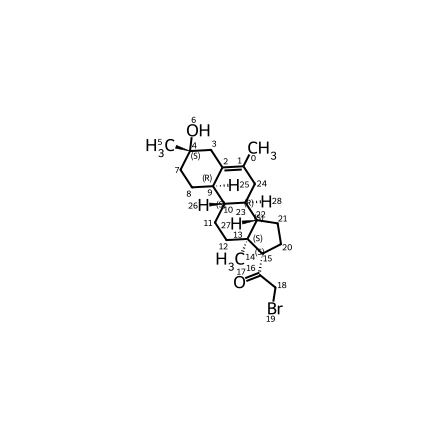 CC1=C2C[C@@](C)(O)CC[C@@H]2[C@H]2CC[C@]3(C)[C@@H](C(=O)CBr)CC[C@H]3[C@@H]2C1